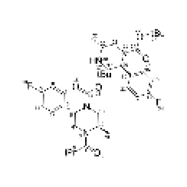 CC(C)C(=O)N1C[C@H](c2ccc(F)cc2)N(C(=O)OC(C)(C)C)C[C@H]1C.C[C@@H]1CN(C(=O)OC(C)(C)C)[C@@H](c2ccc(F)cc2)CN1